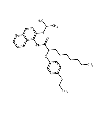 CCCCCCCC(Oc1ccc(SCC)cc1)C(=O)Nc1c(SC(C)C)ccc2ncccc12